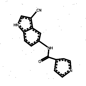 N#Cc1c[nH]c2ccc(NC(=O)c3ccncc3)cc12